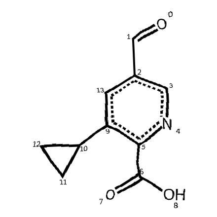 O=Cc1cnc(C(=O)O)c(C2CC2)c1